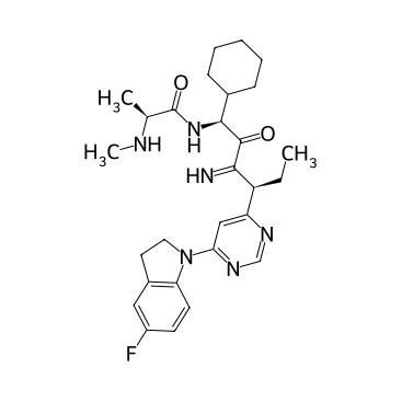 CC[C@H](C(=N)C(=O)[C@@H](NC(=O)[C@H](C)NC)C1CCCCC1)c1cc(N2CCc3cc(F)ccc32)ncn1